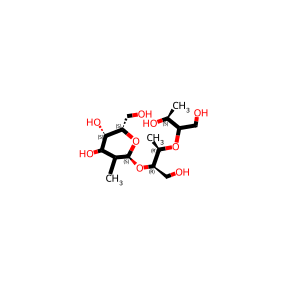 CC1C(O)[C@H](O)[C@H](CO)O[C@H]1O[C@H](CO)[C@@H](C)OC(CO)[C@H](C)O